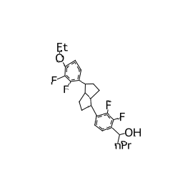 CCCC(O)c1ccc(C2CCC3C(c4ccc(OCC)c(F)c4F)CCC23)c(F)c1F